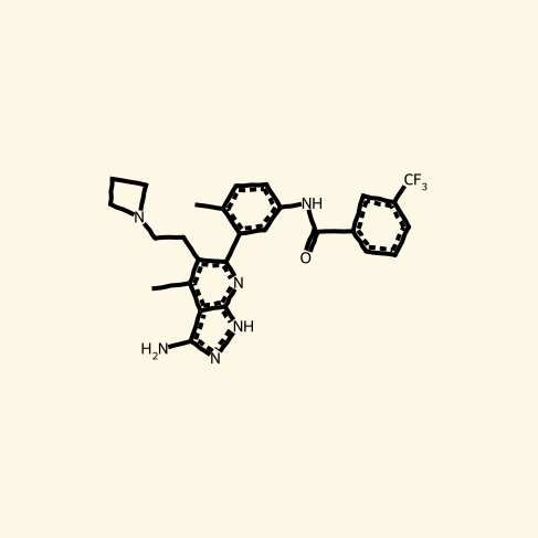 Cc1ccc(NC(=O)c2cccc(C(F)(F)F)c2)cc1-c1nc2[nH]nc(N)c2c(C)c1CCN1CCC1